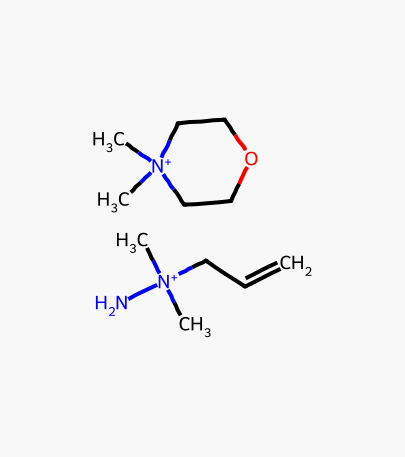 C=CC[N+](C)(C)N.C[N+]1(C)CCOCC1